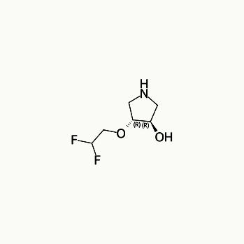 O[C@@H]1CNC[C@H]1OCC(F)F